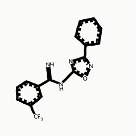 N=C(Nc1nc(-c2ccccc2)no1)c1cccc(C(F)(F)F)c1